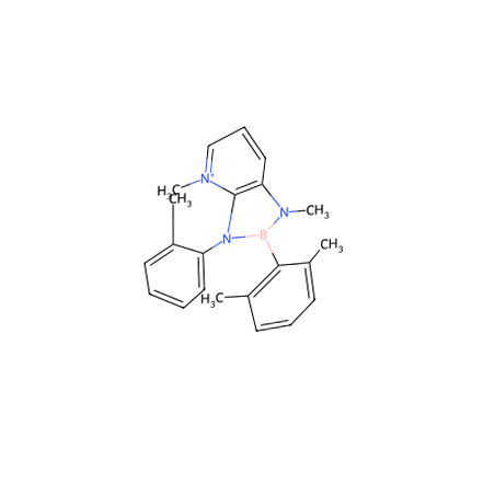 Cc1ccccc1N1B(c2c(C)cccc2C)N(C)c2ccc[n+](C)c21